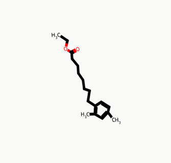 CCOC(=O)CCCCCCCc1ccc(C)cc1C